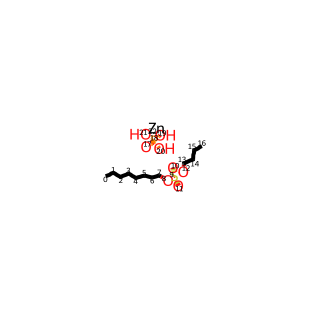 CCCCCCCCOS(=O)(=O)OCCCC.O=P(O)(O)O.[Zn]